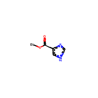 CCOC(=O)c1c[nH]cn1